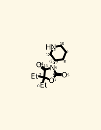 CCC1(CC)OC(=O)N([C@H]2CCCNC2)C1=O